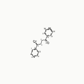 O=C(CCC(=O)c1ccncc1)c1ccncc1